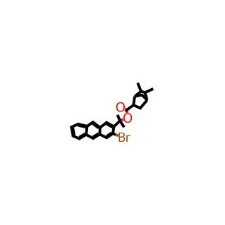 CC1C2CC(C(=O)OC(C)(C)c3cc4cc5ccccc5cc4cc3Br)C(C2)C1C